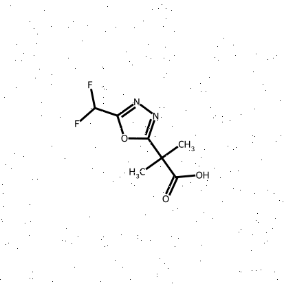 CC(C)(C(=O)O)c1nnc(C(F)F)o1